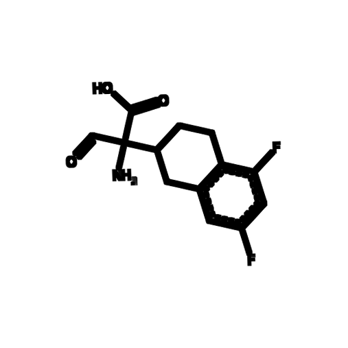 NC(C=O)(C(=O)O)C1CCc2c(F)cc(F)cc2C1